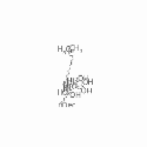 CCCCCCCCCCCCCC[C@@H](O)[C@@H](O)[C@H](COC1OC(CO)C(O)C(O)C1O)n1nnn(CCCCCCCCCCC2CC[Si](C)(C)CC2)c1=O